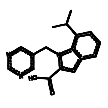 CC(C)c1cccc2cc(C(=O)O)n(Cc3cncnc3)c12